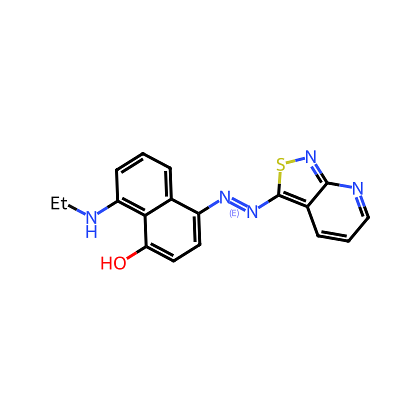 CCNc1cccc2c(/N=N/c3snc4ncccc34)ccc(O)c12